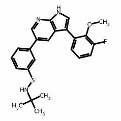 COc1c(F)cccc1-c1c[nH]c2ncc(-c3cccc(SNC(C)(C)C)c3)cc12